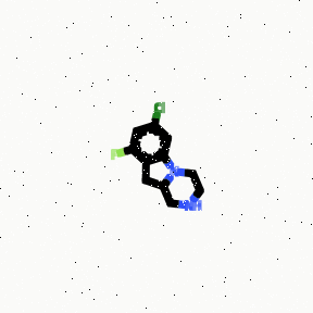 Fc1cc(Cl)cc2c1CC1CNCCN21